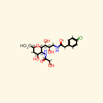 O=C(Cc1ccc(Cl)cc1)NC[C@@H](O)[C@@H](O)C1OC(C(=O)O)CC(O)C1NC(=O)CO